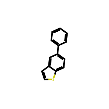 [c]1cccc(-c2ccc3sccc3c2)c1